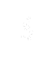 NCc1cccn1-c1cccc(-c2nc3c(OC(N)=O)cccc3[nH]2)c1